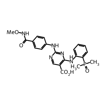 CONC(=O)c1ccc(Nc2ncc(C(=O)O)c(Nc3ccccc3P(C)(C)=O)n2)cc1